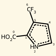 O=C(O)c1[nH]ccc1C(F)(F)F